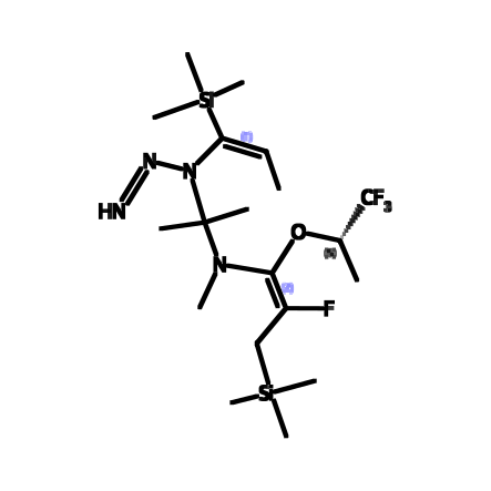 C/C=C(\N(N=N)C(C)(C)N(C)/C(O[C@@H](C)C(F)(F)F)=C(/F)C[Si](C)(C)C)[Si](C)(C)C